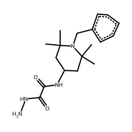 CC1(C)CC(NC(=O)C(=O)NN)CC(C)(C)N1Cc1ccccc1